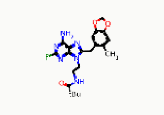 Cc1cc2c(cc1Cc1nc3c(N)nc(F)nc3n1CCNC(=O)C(C)(C)C)OCO2